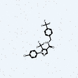 O=C(NCc1ccc(C(F)(F)F)cc1)c1cnn(-c2ccc(Cl)cc2)c1C(F)(F)F